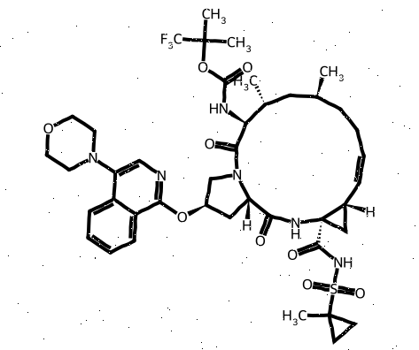 C[C@H]1CC/C=C\[C@@H]2C[C@@]2(C(=O)NS(=O)(=O)C2(C)CC2)NC(=O)[C@@H]2C[C@@H](Oc3ncc(N4CCOCC4)c4ccccc34)CN2C(=O)[C@@H](NC(=O)OC(C)(C)C(F)(F)F)[C@H](C)C1